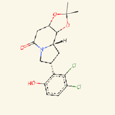 CC1(C)OC2CC(=O)N3C[C@@H](c4c(O)ccc(Cl)c4Cl)C[C@H]3C2O1